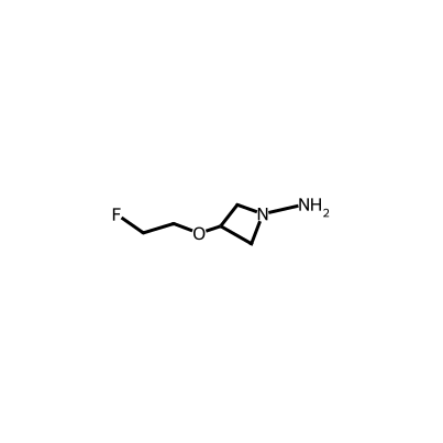 NN1CC(OCCF)C1